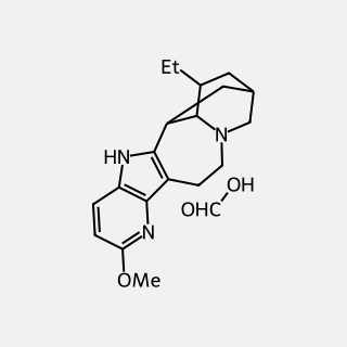 CCC1CC2CC3c4[nH]c5ccc(OC)nc5c4CCN(C2)C13.O=CO